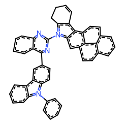 C1=Cc2c(n(-c3nc(-c4ccc5c(c4)c4ccccc4n5-c4ccccc4)c4ccccc4n3)c3cc4ccc5cccc6ccc(c23)c4c56)CC1